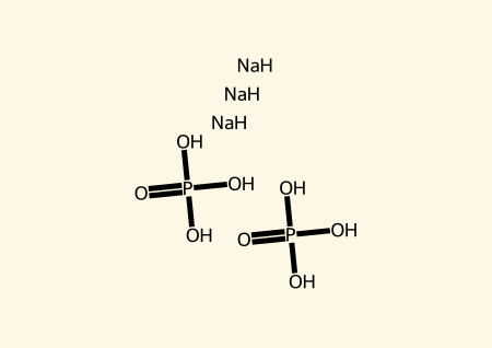 O=P(O)(O)O.O=P(O)(O)O.[NaH].[NaH].[NaH]